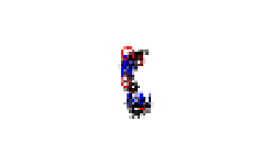 C[C@@H](NCc1cccc(OCCN2CCN(C(=O)c3ccco3)CC2)c1)c1cccc2ccccc12